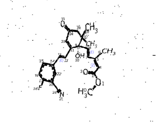 COC(=O)/C=C(C)\C=C\[C@@]1(O)C(/C=C/c2ccc(F)c(C#N)c2)=CC(=O)CC1(C)C